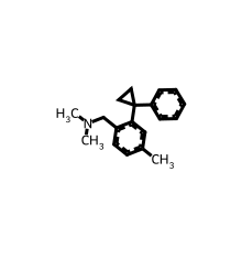 Cc1ccc(CN(C)C)c(C2(c3ccccc3)CC2)c1